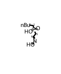 CCCCCP(=O)(O)CC=NO